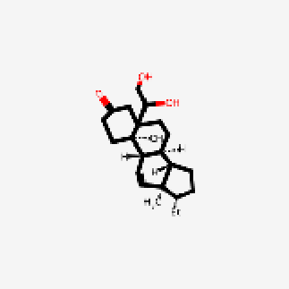 CC[C@H]1CC[C@H]2[C@@H]3CCC4(C(O)CO)CC(=O)CC[C@]4(C)[C@H]3C=C[C@]12C